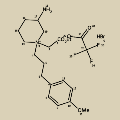 Br.CCOC(=O)C[N+]1(CCCc2ccc(OC)cc2)CCCC(N)C1.O=C([O-])C(F)(F)F